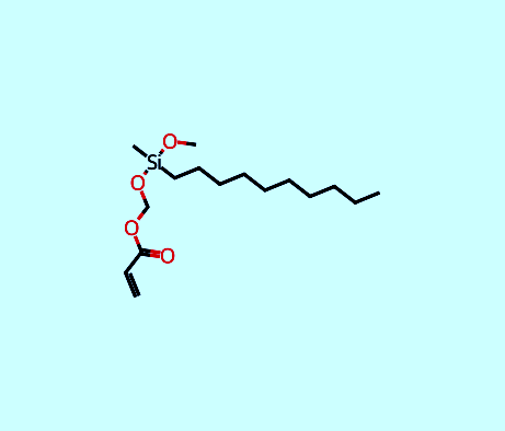 C=CC(=O)OCO[Si](C)(CCCCCCCCCC)OC